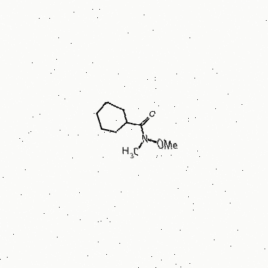 CON(C)C(=O)C1CC[CH]CC1